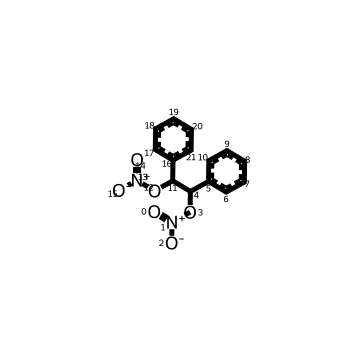 O=[N+]([O-])OC(c1ccccc1)C(O[N+](=O)[O-])c1ccccc1